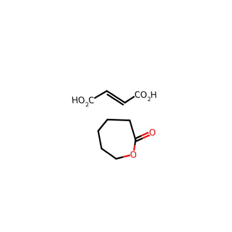 O=C(O)/C=C/C(=O)O.O=C1CCCCCO1